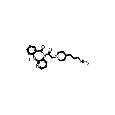 NCCCC1CCN(CC(=O)N2C(=O)c3ccccc3Nc3ncccc32)CC1